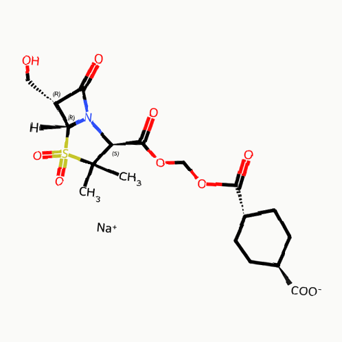 CC1(C)[C@H](C(=O)OCOC(=O)[C@H]2CC[C@H](C(=O)[O-])CC2)N2C(=O)[C@@H](CO)[C@H]2S1(=O)=O.[Na+]